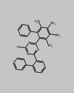 Bc1c(B)c(B)c(-c2nc(Cl)nc(-c3ccccc3-c3ccccc3)n2)c(-c2ccccc2)c1B